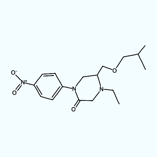 CCN1CC(=O)N(c2ccc([N+](=O)[O-])cc2)CC1COCC(C)C